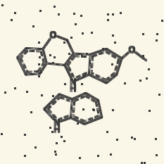 COc1ccc2[nH]c3c(c2c1)COc1ccccc1-3.c1ccc2[nH]ccc2c1